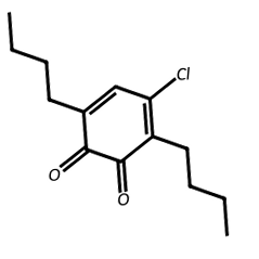 CCCCC1=CC(Cl)=C(CCCC)C(=O)C1=O